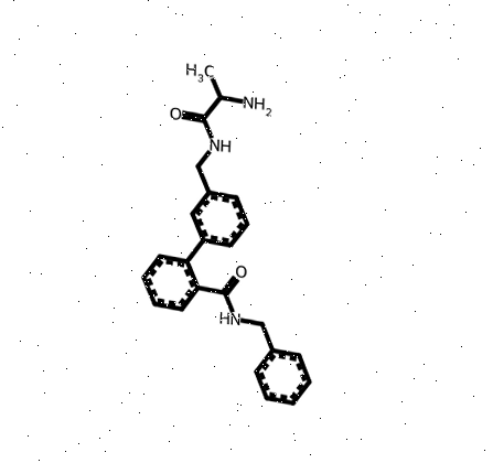 CC(N)C(=O)NCc1cccc(-c2ccccc2C(=O)NCc2ccccc2)c1